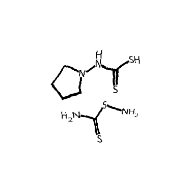 NSC(N)=S.S=C(S)NN1CCCC1